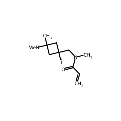 C=CC(=O)N(C)CC1(I)CC(C)(NC)C1